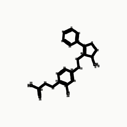 CC1CCC(c2ccccc2)=C1COc1ccc(CCC(=O)O)c(Cl)c1